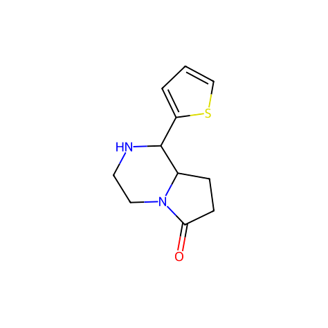 O=C1CCC2C(c3cccs3)NCCN12